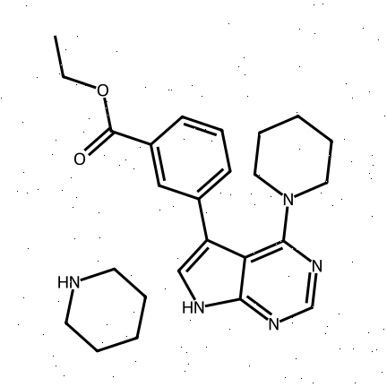 C1CCNCC1.CCOC(=O)c1cccc(-c2c[nH]c3ncnc(N4CCCCC4)c23)c1